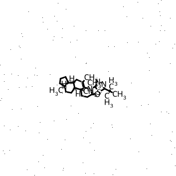 CC1=C2[C@](C)(CCC(=O)[N+]2(C)c2nnc(C(C)(C)C)s2)[C@H]2CC[C@]3(C)CCC[C@H]3[C@@H]2C1